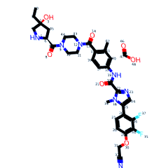 CC[C@@]1(O)CN[C@H](C(=O)N2CCN(C(=O)c3ccc(NC(=O)c4ncc(-c5ccc(OCC#N)c(F)c5F)n4C)cc3C)CC2)C1.O=CO